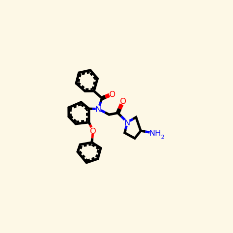 NC1CCN(C(=O)CN(C(=O)c2ccccc2)c2ccccc2Oc2ccccc2)C1